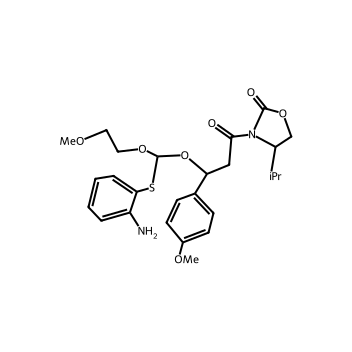 COCCOC(OC(CC(=O)N1C(=O)OCC1C(C)C)c1ccc(OC)cc1)Sc1ccccc1N